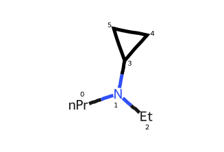 CCCN(CC)C1CC1